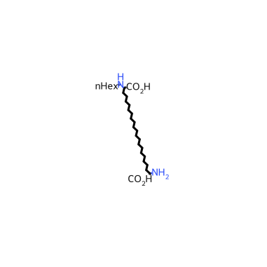 CCCCCCNC(CCCCCCCCCCCCCCCCCCCC(N)C(=O)O)C(=O)O